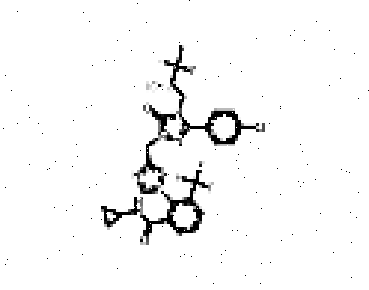 O=C(NC1CC1)c1cccc(C(F)(F)F)c1-n1cnc(Cn2nc(-c3ccc(Cl)cc3)n(C[C@H](O)C(F)(F)F)c2=O)n1